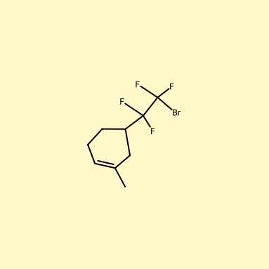 CC1=CCCC(C(F)(F)C(F)(F)Br)C1